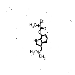 CCN(C)C(=O)Oc1cccc2c1NCC2CN(C)C